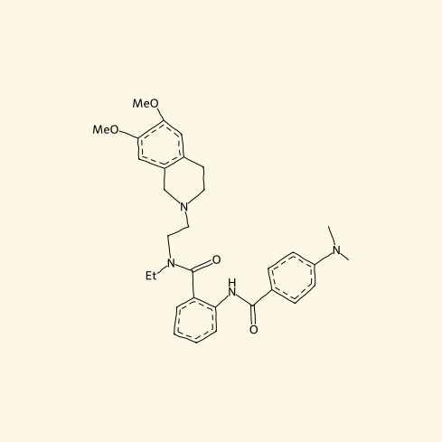 CCN(CCN1CCc2cc(OC)c(OC)cc2C1)C(=O)c1ccccc1NC(=O)c1ccc(N(C)C)cc1